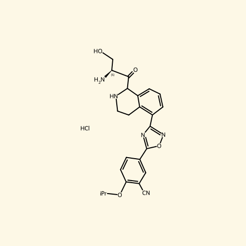 CC(C)Oc1ccc(-c2nc(-c3cccc4c3CCNC4C(=O)[C@@H](N)CO)no2)cc1C#N.Cl